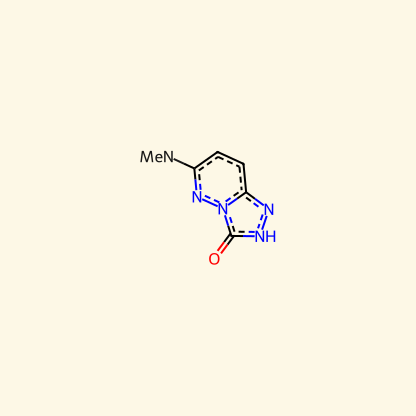 CNc1ccc2n[nH]c(=O)n2n1